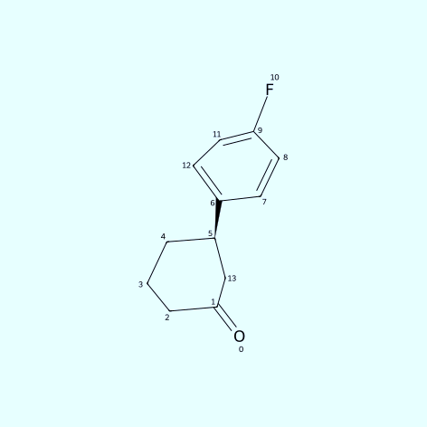 O=C1CCC[C@@H](c2ccc(F)cc2)C1